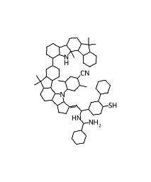 CC1CC(N2C3/C(=C/C(NC(N)C4CCCCC4)C4CCC(S)C(C5CCCCC5)C4)CCC3C3CCC4C(C5CCC(C6CCCC7C6NC6(C)C7CCC7C6C6CCCCC6C7(C)C)CC5C4(C)C)C32)C(C)CC1C#N